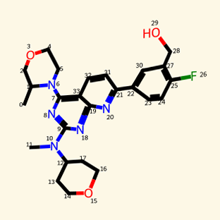 CC1COCCN1c1nc(N(C)C2CCOCC2)nc2nc(-c3ccc(F)c(CO)c3)ccc12